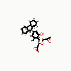 C(OCC1CO1)C1CO1.Cc1cccc(O)c1C.c1ccc2c(c1)Cc1ccccc1-2